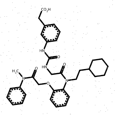 CN(C(=O)COc1ccccc1N(CCC1CCCCC1)C(=O)CNC(=O)Nc1cccc(CC(=O)O)c1)c1ccccc1